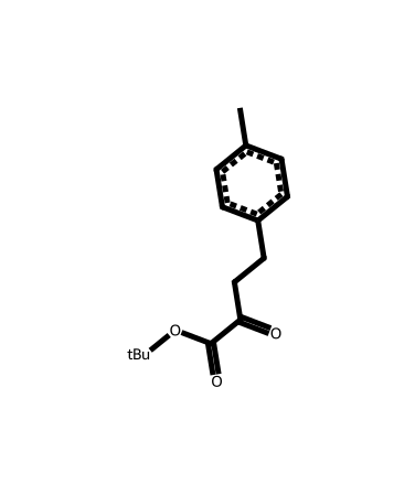 Cc1ccc(CCC(=O)C(=O)OC(C)(C)C)cc1